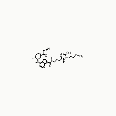 C[C@@H]1CCN(C(=O)CC#N)C[C@@H]1N(C)c1ncnc2c1ccn2C(=O)NCCCC(=O)N[C@@H](CCCCN)C(=O)O